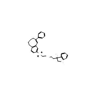 NCC(N)(CCOCCS(=O)(=O)c1ccc2c(c1)/C=C(/c1ccccc1)CCCC2)c1ccccc1